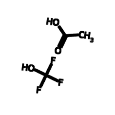 CC(=O)O.OC(F)(F)F